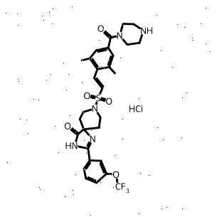 Cc1cc(C(=O)N2CCNCC2)cc(C)c1C=CS(=O)(=O)N1CCC2(CC1)N=C(c1cccc(OC(F)(F)F)c1)NC2=O.Cl